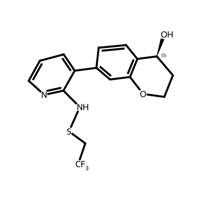 O[C@H]1CCOc2cc(-c3cccnc3NSCC(F)(F)F)ccc21